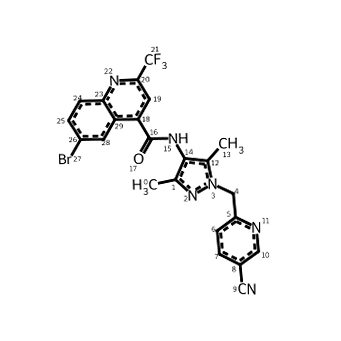 Cc1nn(Cc2ccc(C#N)cn2)c(C)c1NC(=O)c1cc(C(F)(F)F)nc2ccc(Br)cc12